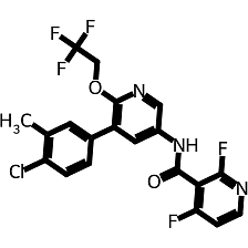 Cc1cc(-c2cc(NC(=O)c3c(F)ccnc3F)cnc2OCC(F)(F)F)ccc1Cl